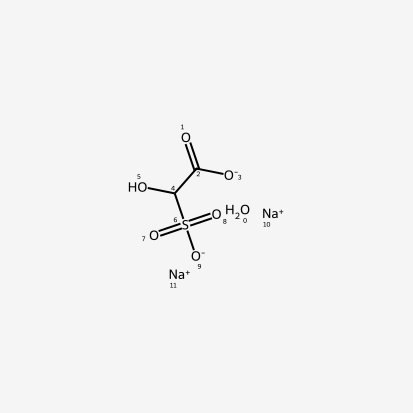 O.O=C([O-])C(O)S(=O)(=O)[O-].[Na+].[Na+]